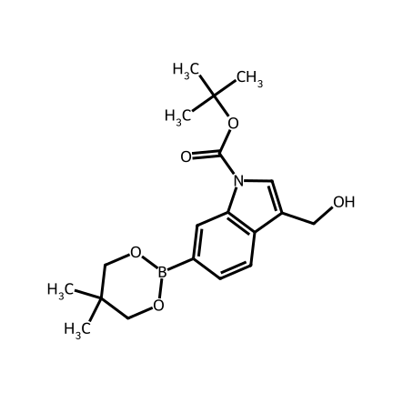 CC1(C)COB(c2ccc3c(CO)cn(C(=O)OC(C)(C)C)c3c2)OC1